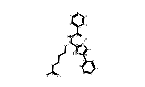 CC(=O)CCCCC[C@H](NC(=O)c1ccncc1)c1ncc(-c2ccccc2)[nH]1